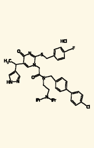 CC(c1cn[nH]c1)c1cn(CC(=O)N(CCN(C(C)C)C(C)C)Cc2ccc(-c3ccc(Cl)cc3)cc2)c(SCc2ccc(F)cc2)nc1=O.Cl